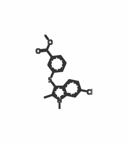 COC(=O)c1cccc(Sc2c(C)n(C)c3cc(Cl)ccc23)c1